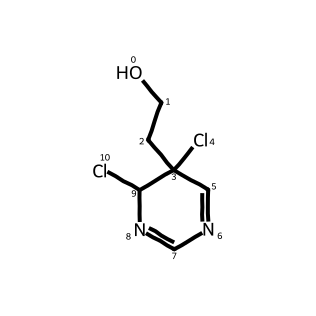 OCCC1(Cl)C=NC=NC1Cl